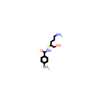 NCCCC(CO)SNC(=O)c1ccc([N+](=O)[O-])cc1